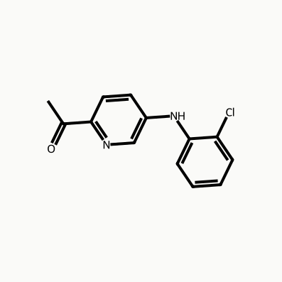 CC(=O)c1ccc(Nc2ccccc2Cl)cn1